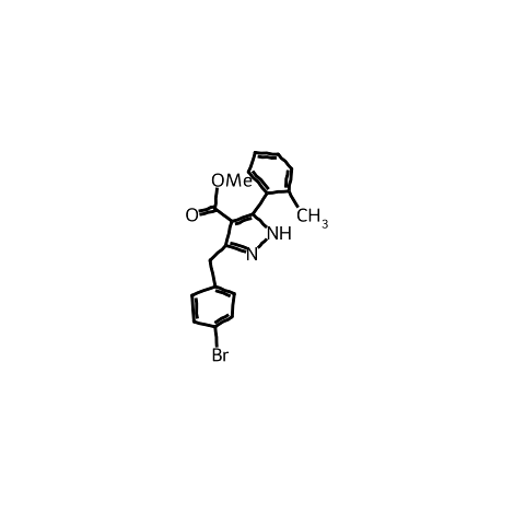 COC(=O)c1c(Cc2ccc(Br)cc2)n[nH]c1-c1ccccc1C